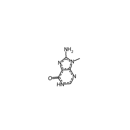 Cn1c(N)nc2c(=O)[nH]cnc21